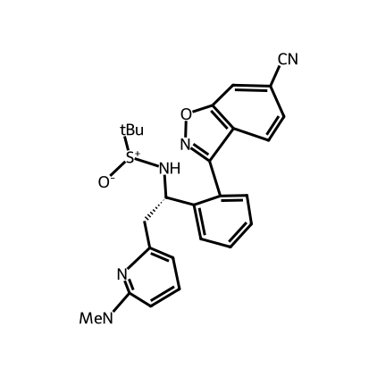 CNc1cccc(C[C@H](N[S+]([O-])C(C)(C)C)c2ccccc2-c2noc3cc(C#N)ccc23)n1